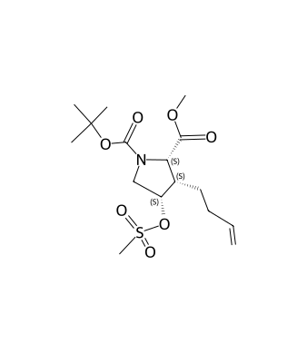 C=CCC[C@H]1[C@@H](C(=O)OC)N(C(=O)OC(C)(C)C)C[C@H]1OS(C)(=O)=O